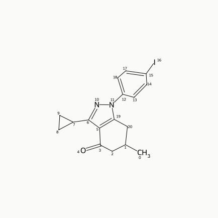 CC1CC(=O)c2c(C3CC3)nn(-c3ccc(I)cc3)c2C1